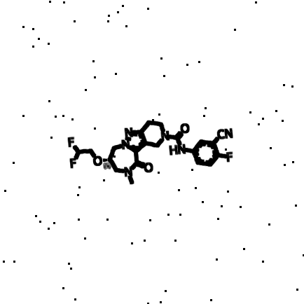 CN1C[C@H](OCC(F)F)Cn2nc3c(c2C1=O)CN(C(=O)Nc1ccc(F)c(C#N)c1)CC3